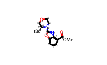 COC(=O)c1cccc2oc(N3CCOC[C@@H]3C(C)(C)C)nc12